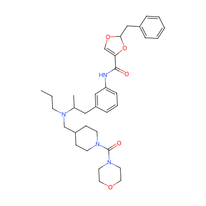 CCCN(CC1CCN(C(=O)N2CCOCC2)CC1)C(C)Cc1cccc(NC(=O)C2=COC(Cc3ccccc3)O2)c1